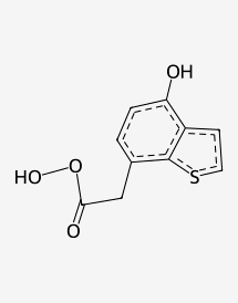 O=C(Cc1ccc(O)c2ccsc12)OO